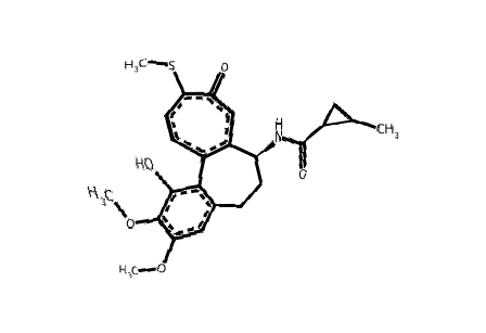 COc1cc2c(c(O)c1OC)-c1ccc(SC)c(=O)cc1[C@@H](NC(=O)C1CC1C)CC2